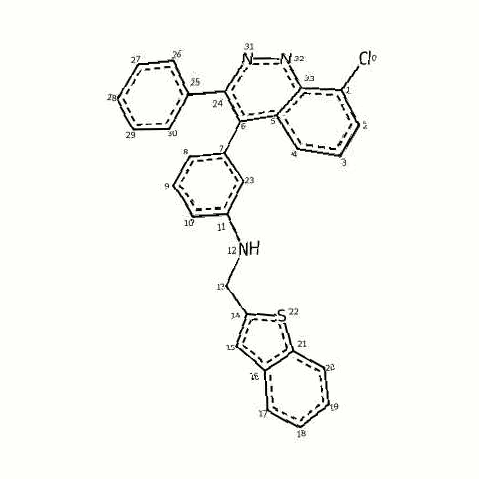 Clc1cccc2c(-c3cccc(NCc4cc5ccccc5s4)c3)c(-c3ccccc3)nnc12